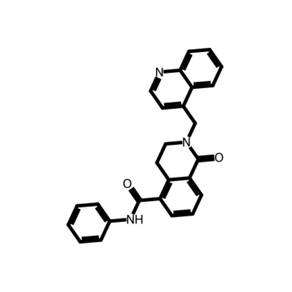 O=C(Nc1ccccc1)c1cccc2c1CCN(Cc1ccnc3ccccc13)C2=O